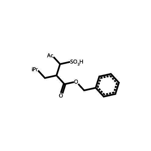 CC(=O)C(C(CC(C)C)C(=O)OCc1ccccc1)S(=O)(=O)O